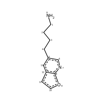 NCCCCc1cnc2occc2c1